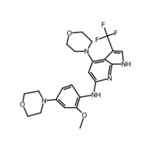 COc1cc(N2CCOCC2)ccc1Nc1cc(N2CCOCC2)c2c(C(F)(F)F)c[nH]c2n1